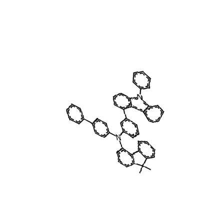 CC1(C)c2ccccc2-c2c(N(c3ccc(-c4ccccc4)cc3)c3cccc(-c4cccc5c4c4ccccc4n5-c4ccccc4)c3)cccc21